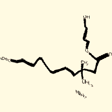 CCCCCCCCCCCCCCCCC(C)(C)CC(=O)OCCO.N